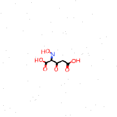 O=C(O)CC(=O)C(=NO)C(=O)O